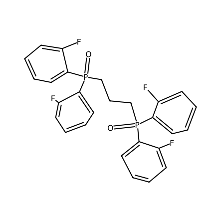 O=P(CCCP(=O)(c1ccccc1F)c1ccccc1F)(c1ccccc1F)c1ccccc1F